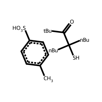 CCCCC(S)(CCCC)C(=O)C(C)(C)C.Cc1ccc(S(=O)(=O)O)cc1